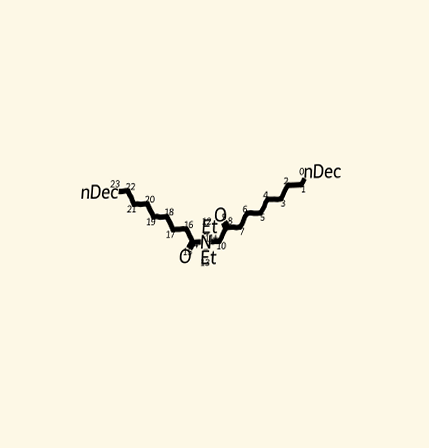 CCCCCCCCCCCCCCCCCC(=O)C[N+](CC)(CC)C(=O)CCCCCCCCCCCCCCCCC